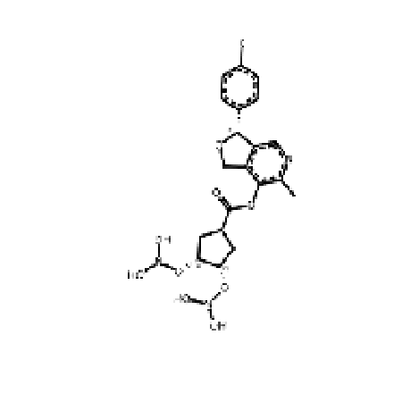 Cc1ncc2c(c1OC(=O)C1C[C@H](ON(O)O)[C@H](ON(O)O)C1)CO[C@@H]2c1ccc(Cl)cc1